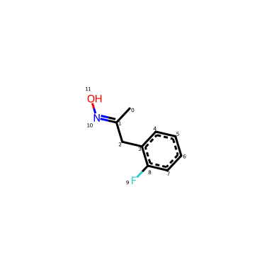 C/C(Cc1ccccc1F)=N\O